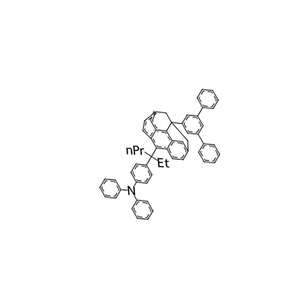 CCCC(CC)(c1ccc(N(c2ccccc2)c2ccccc2)cc1)c1c2ccc3cc2c2c4cc(ccc14)CC2(c1cc(-c2ccccc2)cc(-c2ccccc2)c1)C3